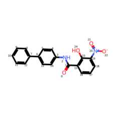 O=C(Nc1ccc(-c2ccccc2)cc1)c1cccc([N+](=O)[O-])c1O